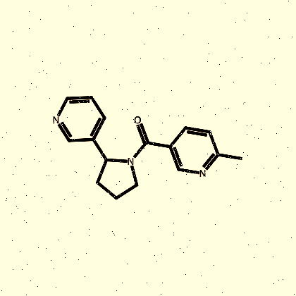 Cc1ccc(C(=O)N2CCCC2c2cccnc2)cn1